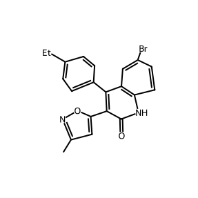 CCc1ccc(-c2c(-c3cc(C)no3)c(=O)[nH]c3ccc(Br)cc23)cc1